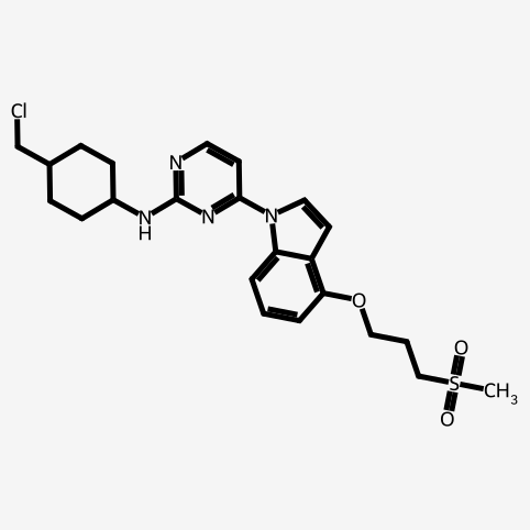 CS(=O)(=O)CCCOc1cccc2c1ccn2-c1ccnc(NC2CCC(CCl)CC2)n1